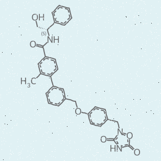 Cc1cc(C(=O)N[C@H](CO)c2ccccc2)ccc1-c1cccc(COc2ccc(Cn3oc(=O)[nH]c3=O)cc2)c1